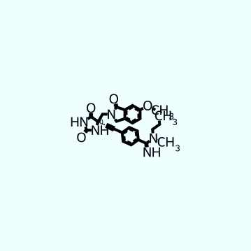 CCCN(C)C(=N)c1ccc(C#C[C@]2(CN3Cc4ccc(OC)cc4C3=O)NC(=O)NC2=O)cc1